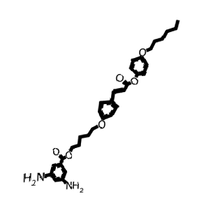 CCCCCCOc1ccc(OC(=O)C=Cc2ccc(OCCCCCOC(=O)c3cc(N)cc(N)c3)cc2)cc1